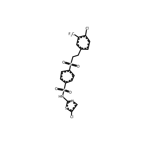 O=S(=O)(CCc1ccc(Cl)c(C(F)(F)F)c1)c1ccc(S(=O)(=O)Nc2ncc(Cl)s2)cc1